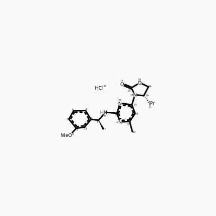 COc1cccc([C@H](C)Nc2nc(C)cc(N3C(=O)OC[C@@H]3C(C)C)n2)c1.Cl